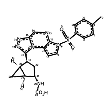 Cc1ccc(S(=O)(=O)n2ccc3c2ncc2nnc([C@H]4C[C@@H](NC(=O)O)[C@H]5C[C@H]54)n23)cc1